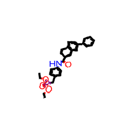 CCOP(=O)(Cc1ccc(NC(=O)C2=Cc3cc(-c4ccccc4)ccc3CC2)cc1)OCC